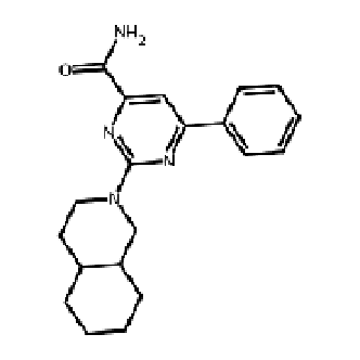 NC(=O)c1cc(-c2ccccc2)nc(N2CCC3CCCCC3C2)n1